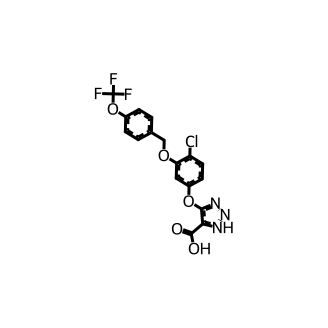 O=C(O)c1[nH]nnc1Oc1ccc(Cl)c(OCc2ccc(OC(F)(F)F)cc2)c1